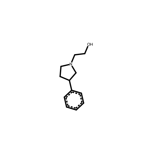 OCCN1CCC(c2ccccc2)C1